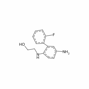 Nc1ccc(NCCO)c(-c2ccccc2F)c1